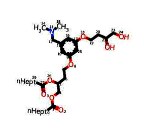 CCCCCCCC(=O)OCC(CCOc1cc(CN(C)C)cc(OCCC(O)CO)c1)OC(=O)CCCCCCC